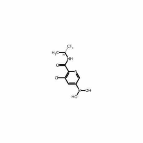 C[C@@H](NC(=O)c1ncc(B(O)O)cc1Cl)C(F)(F)F